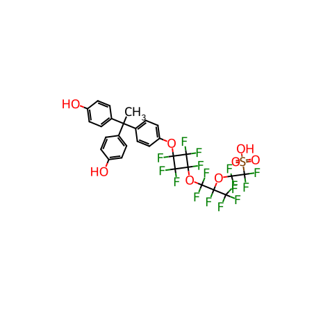 CC(c1ccc(O)cc1)(c1ccc(O)cc1)c1ccc(OC2(F)C(F)(F)C(F)(OC(F)(F)C(F)(OC(F)(F)C(F)(F)S(=O)(=O)O)C(F)(F)F)C2(F)F)cc1